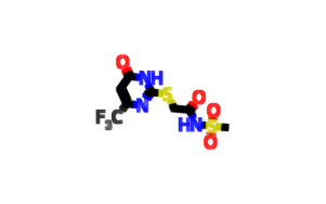 CS(=O)(=O)NC(=O)CSc1nc(C(F)(F)F)cc(=O)[nH]1